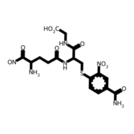 NC(=O)c1ccc(SCC(NC(=O)CCC(N)C(=O)N=O)C(=O)NCC(=O)O)c([N+](=O)[O-])c1